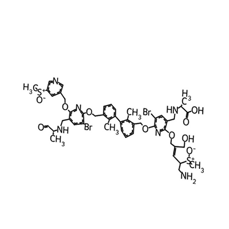 Cc1c(COc2nc(OC/C(=C/C(CN)[S+](C)[O-])CO)c(CN[C@@H](C)C(=O)O)cc2Br)cccc1-c1cccc(COc2nc(OCc3cncc([S+](C)[O-])c3)c(CN[C@@H](C)C=O)cc2Br)c1C